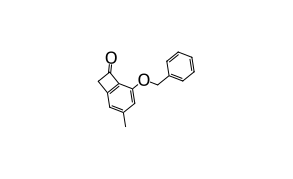 Cc1cc2c(c(OCc3ccccc3)c1)C(=O)C2